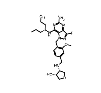 CCC[C@@H](CCO)Nc1nc(N)nc2c(F)nn(Cc3ccc(CN[C@@H]4COC[C@H]4O)cc3OC)c12